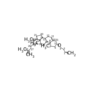 C=CCCO[C@H]1CC[C@@]2(C)C(=CCC3C2CC[C@@]2(C)C3CC[C@@H]2[C@H](C)CCCC(C)C)C1